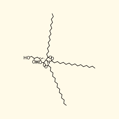 CCCCCCCCCCCCCCCC(=O)N(C(=O)CCCCCCCCCCCCCCC)[C@@](CSCC(O)CO)(C(=O)O)C(=O)CCCCCCCCCCCCCCC